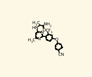 Cc1cc(NC(C)C(N)=O)nc(-c2ccc(Oc3ccc(C#N)cc3)cc2C(F)(F)F)n1